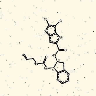 C=CCNC(=O)N[C@@H]1c2ccccc2C[C@@H]1NC(=O)c1cc2sc(Cl)c(Cl)c2[nH]1